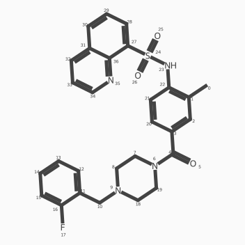 Cc1cc(C(=O)N2CCN(Cc3ccccc3F)CC2)ccc1NS(=O)(=O)c1cccc2cccnc12